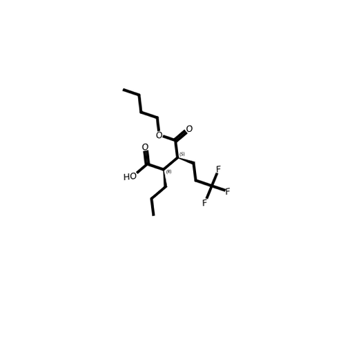 CCCCOC(=O)[C@@H](CCC(F)(F)F)[C@@H](CCC)C(=O)O